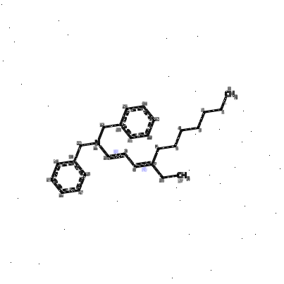 CCCCCCC/C(=C\C=C\N(Cc1ccccc1)Cc1ccccc1)CC